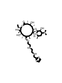 CC[C@H]1OC(=O)[C@H](C)[C@@H](O)[C@H](C)[C@H](O[C@@H]2O[C@H](C)CC(N(C)C)[C@@H]2O)[C@](C)(O)C[C@@H](C)/C(=N\OCCNCCNCc2nccs2)[C@H](C)[C@H](O)[C@]1(C)O